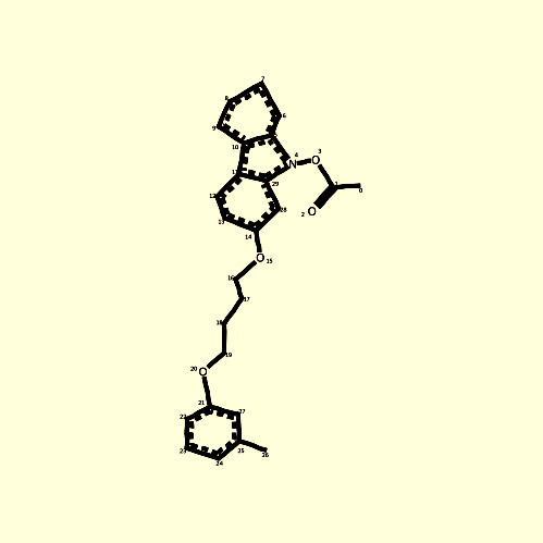 CC(=O)On1c2ccccc2c2ccc(OCCCCOc3cccc(C)c3)cc21